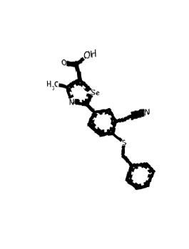 Cc1nc(-c2ccc(SCc3ccccc3)c(C#N)c2)[se]c1C(=O)O